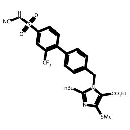 CCCCc1nc(SC)c(C(=O)OCC)n1Cc1ccc(-c2ccc(S(=O)(=O)NC#N)cc2C(F)(F)F)cc1